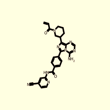 C=CC(=O)N1CCCC(c2nc(-c3ccc(C(=O)Nc4cc(C#N)ccn4)cc3)n3c(N)ncnc23)C1